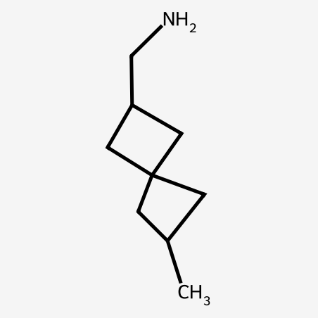 CC1CC2(C1)CC(CN)C2